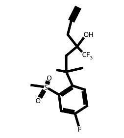 C#CCC(O)(CC(C)(C)c1ccc(F)cc1S(C)(=O)=O)C(F)(F)F